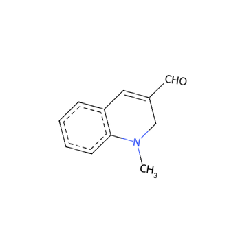 CN1CC(C=O)=Cc2ccccc21